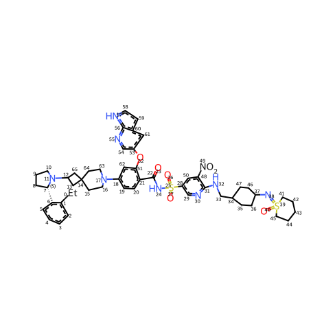 CCc1ccccc1[C@@H]1CCCN1C1CC2(CCN(c3ccc(C(=O)NS(=O)(=O)c4cnc(NCC5CCC(N=S6(=O)CCCCC6)CC5)c([N+](=O)[O-])c4)c(Oc4cnc5[nH]ccc5c4)c3)CC2)C1